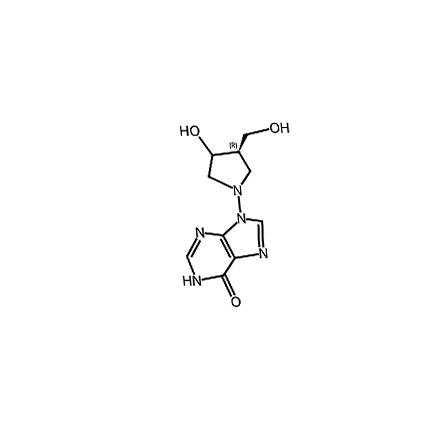 O=c1[nH]cnc2c1ncn2N1CC(O)[C@@H](CO)C1